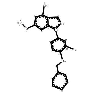 COc1cc(O)c2cnn(-c3ccc(OCc4ccccc4)c(F)c3)c2c1